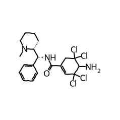 CN1CCCC[C@@H]1[C@H](NC(=O)C1=CC(Cl)(Cl)C(N)C(Cl)(Cl)C1)c1ccccc1